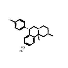 CN1CCN2C[C@@H](c3ccc(O)cc3)c3ccccc3[C@H]2C1.Cl.Cl